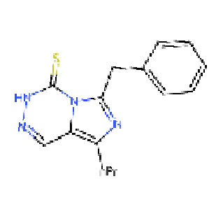 CCCc1nc(Cc2ccccc2)n2c(=S)[nH]ncc12